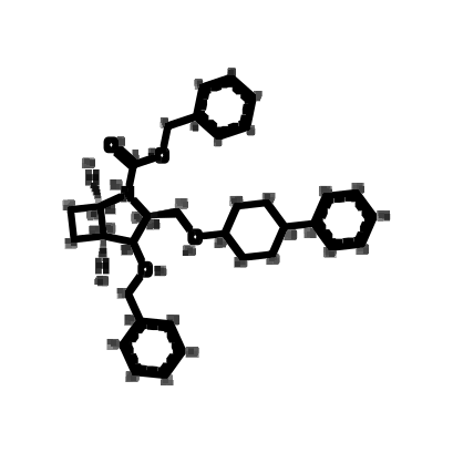 O=C(OCc1ccccc1)N1[C@@H]2CC[C@@H]2C(OCc2ccccc2)[C@@H]1COC1CCC(c2ccccc2)CC1